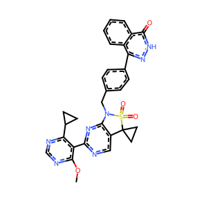 COc1ncnc(C2CC2)c1-c1ncc2c(n1)N(Cc1ccc(-c3n[nH]c(=O)c4ccccc34)cc1)S(=O)(=O)C21CC1